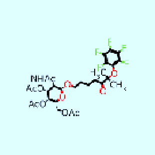 CC(=O)N[C@H]1[C@H](OCCCCC(=O)C(C)(C)Oc2c(F)c(F)c(F)c(F)c2F)O[C@H](COC(C)=O)[C@H](OC(C)=O)[C@@H]1OC(C)=O